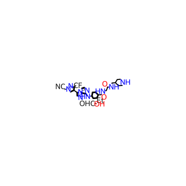 CCc1cc(Nc2nccn3c(-c4cn(CC#N)nc4C(F)(F)F)cnc23)ccc1C(=O)NCC(=O)NCC1CCNCC1.O=CO